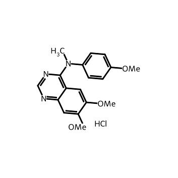 COc1ccc(N(C)c2ncnc3cc(OC)c(OC)cc23)cc1.Cl